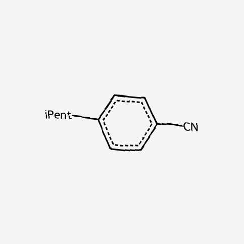 [CH2]CCC(C)c1ccc(C#N)cc1